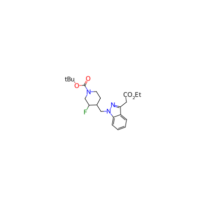 CCOC(=O)Cc1nn(CC2CCN(C(=O)OC(C)(C)C)CC2F)c2ccccc12